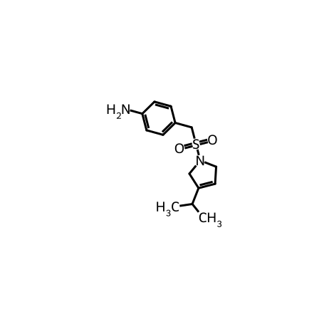 CC(C)C1=CCN(S(=O)(=O)Cc2ccc(N)cc2)C1